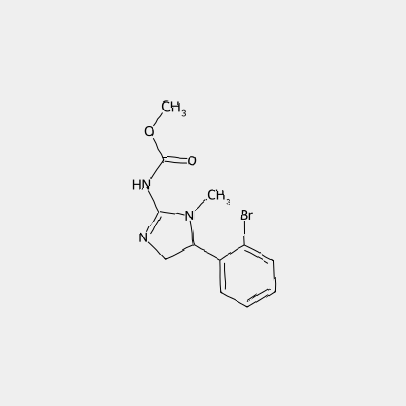 COC(=O)NC1=NCC(c2ccccc2Br)N1C